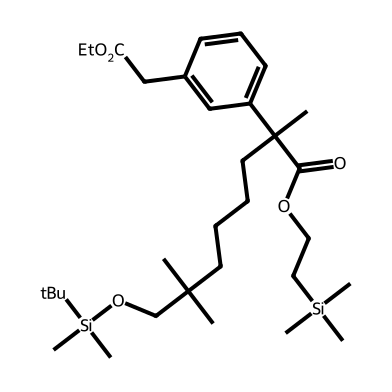 CCOC(=O)Cc1cccc(C(C)(CCCCC(C)(C)CO[Si](C)(C)C(C)(C)C)C(=O)OCC[Si](C)(C)C)c1